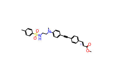 COC(=O)/C=C/c1ccc(C#Cc2ccc(N(C)CCNS(=O)(=O)c3ccc(C)cc3)cc2)cc1